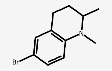 CC1CCc2cc(Br)ccc2N1C